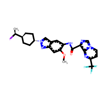 COc1cc2nn([C@H]3CC[C@H]([C@H](C)I)CC3)cc2cc1NC(=O)c1ncn2ccc(C(F)(F)F)nc12